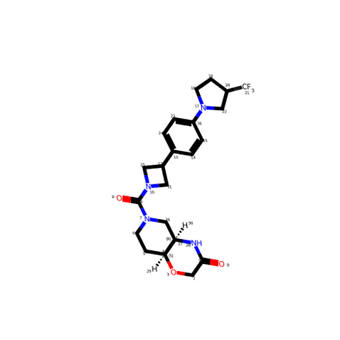 O=C1CO[C@H]2CCN(C(=O)N3CC(c4ccc(N5CCC(C(F)(F)F)C5)cc4)C3)C[C@H]2N1